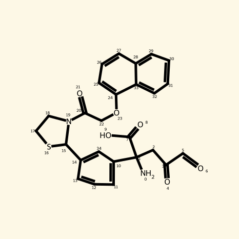 NC(CC(=O)C=O)(C(=O)O)c1cccc(C2SCCN2C(=O)COc2cccc3ccccc23)c1